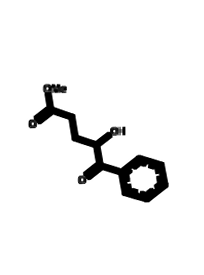 COC(=O)CCC(O)C(=O)c1ccccc1